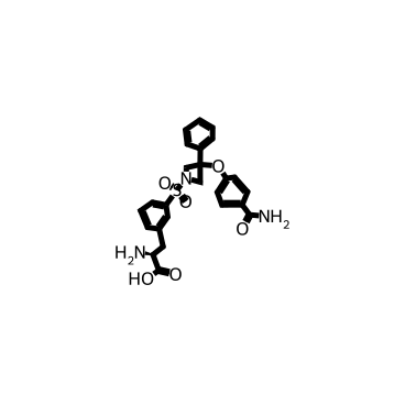 NC(=O)c1ccc(OC2(c3ccccc3)CN(S(=O)(=O)c3cccc(C[C@H](N)C(=O)O)c3)C2)cc1